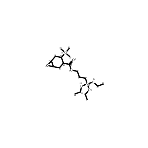 CCO[Si](CCCOC(=O)C1CC2OC2CC1[Si](C)(C)C)(OCC)OCC